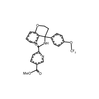 COC(=O)c1ccc(C(=O)NC2(c3ccc(OC(F)(F)F)cc3)CCOc3cccnc32)nc1